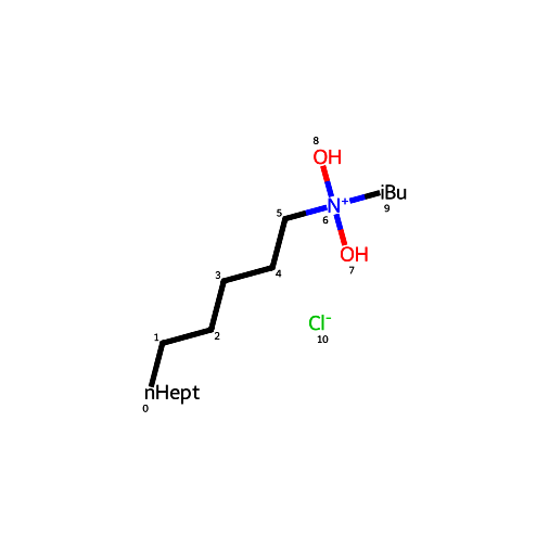 CCCCCCCCCCCC[N+](O)(O)C(C)CC.[Cl-]